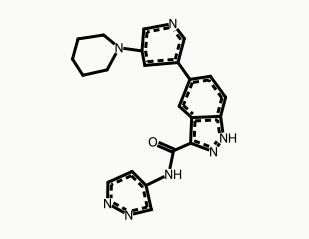 O=C(Nc1ccnnc1)c1n[nH]c2ccc(-c3cncc(N4CCCCC4)c3)cc12